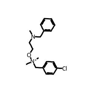 CN(CCO[N+](C)(C)Cc1ccc(Cl)cc1)Cc1ccccc1